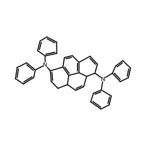 C1=CC(N(c2ccccc2)c2ccccc2)C2C=CC3CC=C(N(c4ccccc4)c4ccccc4)c4ccc1c2c43